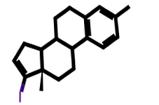 Cc1ccc2c(c1)CCC1C2CC[C@]2(C)C(I)=CCC12